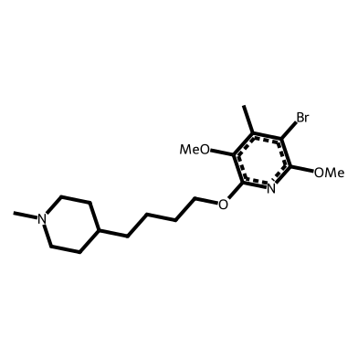 COc1nc(OCCCCC2CCN(C)CC2)c(OC)c(C)c1Br